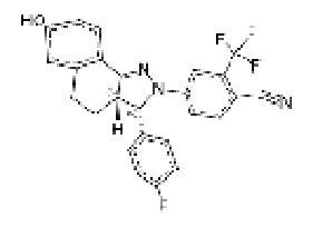 N#Cc1ccc(N2N=C3c4ccc(O)cc4CC[C@H]3[C@H]2c2ccc(F)cc2)cc1C(F)(F)F